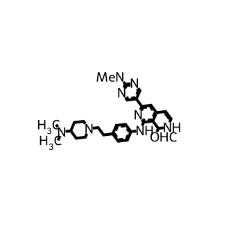 CNc1ncc(-c2cc3c(c(Nc4ccc(CCN5CCC(N(C)C)CC5)cc4)n2)C(C=O)NC=C3)cn1